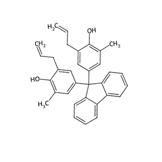 C=CCc1cc(C2(c3cc(C)c(O)c(CC=C)c3)c3ccccc3-c3ccccc32)cc(C)c1O